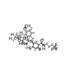 COc1ccc(CN2C(=O)[C@@H](NC(=O)OC(C)(C)C)CSc3cc(F)c(C(=O)NCCCC(F)(F)F)cc32)cc1